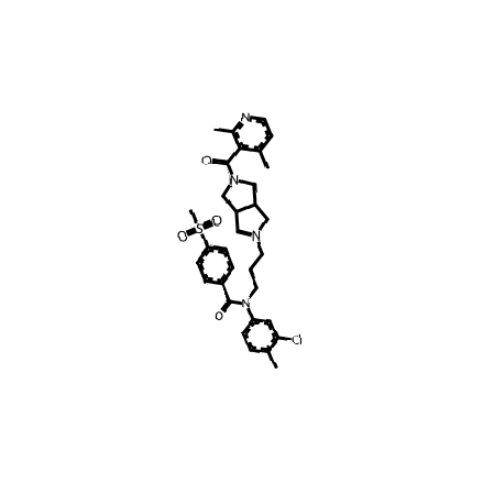 Cc1ccc(N(CCCN2CC3CN(C(=O)c4c(C)ccnc4C)CC3C2)C(=O)c2ccc(S(C)(=O)=O)cc2)cc1Cl